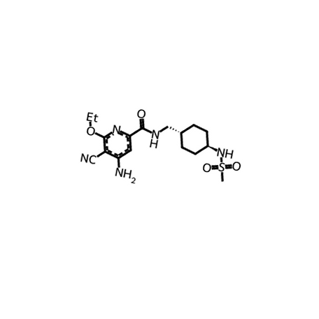 CCOc1nc(C(=O)NC[C@H]2CC[C@H](NS(C)(=O)=O)CC2)cc(N)c1C#N